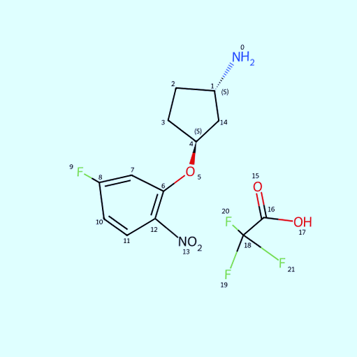 N[C@H]1CC[C@H](Oc2cc(F)ccc2[N+](=O)[O-])C1.O=C(O)C(F)(F)F